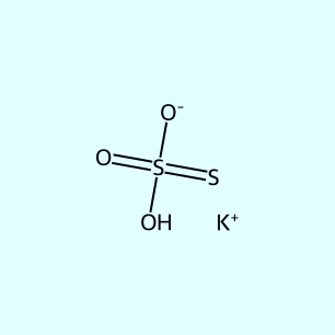 O=S([O-])(O)=S.[K+]